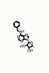 C[C@H]1O[C@@H](n2cnc3c(NCc4ccccc4)ncnc32)[C@H](O)[C@@H]1O